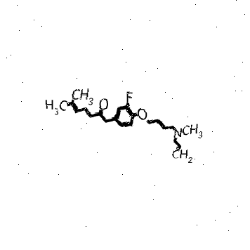 C=CCN(C)CC=CCOc1ccc(CC(=O)CCC=C(C)C)cc1F